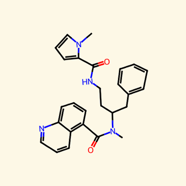 CN(C(=O)c1cccc2ncccc12)C(CCNC(=O)c1cccn1C)Cc1ccccc1